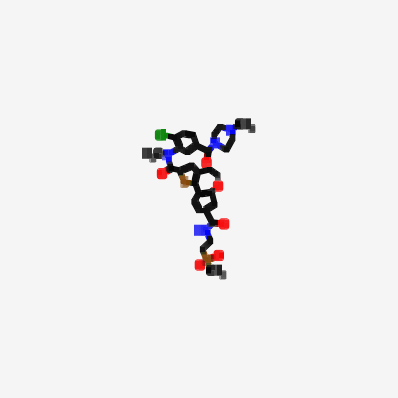 CN1CCN(C(=O)c2ccc(Cl)c(N(C)C(=O)c3cc4c(s3)-c3ccc(C(=O)NCCS(C)(=O)=O)cc3OCC4)c2)CC1